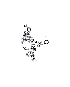 CC(C)(C)OC(=O)N[C@H]1CCCCC/C=C\[C@@H]2C[C@@]2(C(=O)NS(=O)(=O)c2cccc(Cl)c2)NC(=O)[C@@H]2C[C@@H](OC(=O)N3Cc4cccc(F)c4C3)CN2C1=O